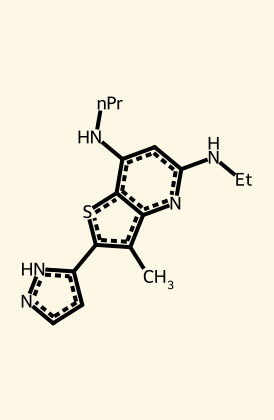 CCCNc1cc(NCC)nc2c(C)c(-c3ccn[nH]3)sc12